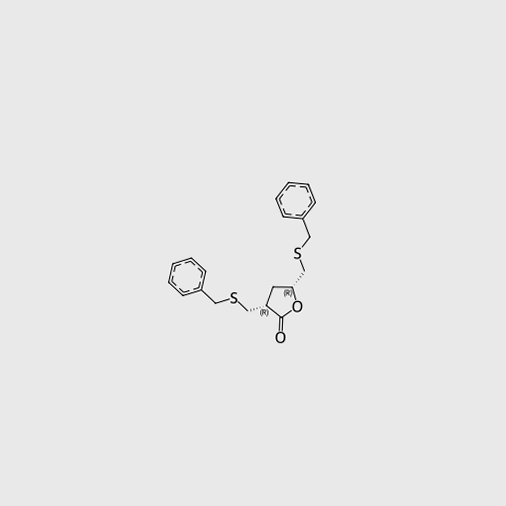 O=C1O[C@@H](CSCc2ccccc2)C[C@H]1CSCc1ccccc1